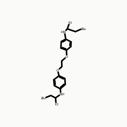 CCC(C)CC(CC)Nc1ccc(OCCOc2ccc(NC(CC)CC(C)CC)cc2)cc1